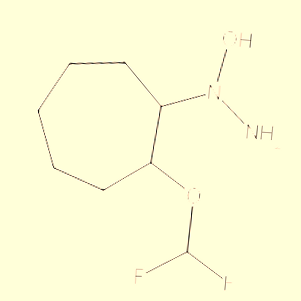 NN(O)C1CCCCCC1OC(F)F